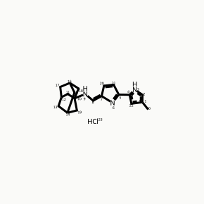 Cc1c[nH]c(C2=NC(=CNC34CC5CC(CC(C5)C3)C4)C=C2)c1.Cl